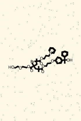 CC(C)(CC(C)(CC(C)(Br)C(=O)OCCC[n+]1ccccc1)C(=O)OCCOCCO)C(=O)OCCCOc1ccc(C(C)(O)c2ccccc2)cc1